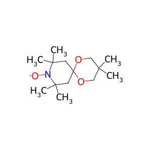 CC1(C)COC2(CC(C)(C)N([O])C(C)(C)C2)OC1